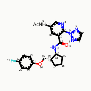 CC(=O)Nc1cnc(-n2nccn2)c(C(=O)N[C@H]2CCC[C@@H]2COc2ccc(F)cc2)c1